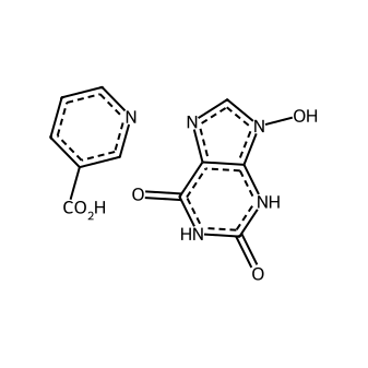 O=C(O)c1cccnc1.O=c1[nH]c(=O)c2ncn(O)c2[nH]1